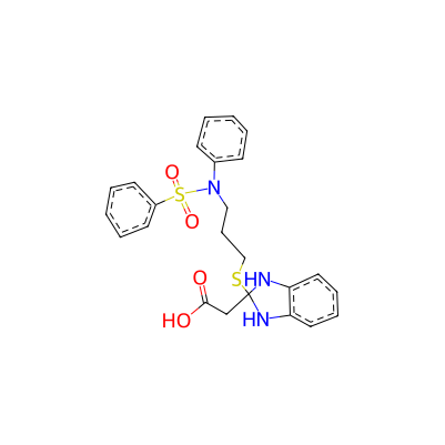 O=C(O)CC1(SCCCN(c2ccccc2)S(=O)(=O)c2ccccc2)Nc2ccccc2N1